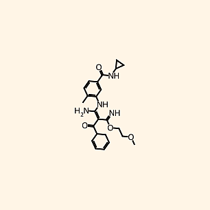 COCCOC(=N)/C(C(=O)C1C=CC=CC1)=C(/N)Nc1cc(C(=O)NC2CC2)ccc1C